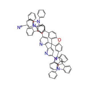 N#Cc1ccc2c(c1)c1cc(-c3cnc4c(c3)C3(c5cc(-c6ccc7c(c6)c6ccccc6n7-c6ccccc6)ccc5Oc5ccc(-c6ccc7c(c6)c6ccccc6n7-c6ccccc6)cc53)c3cc(-n5c6ccccc6c6ccccc65)cnc3-4)ccc1n2-c1ccccc1